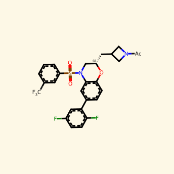 CC(=O)N1CC(C[C@H]2CN(S(=O)(=O)c3cccc(C(F)(F)F)c3)c3cc(-c4cc(F)ccc4F)ccc3O2)C1